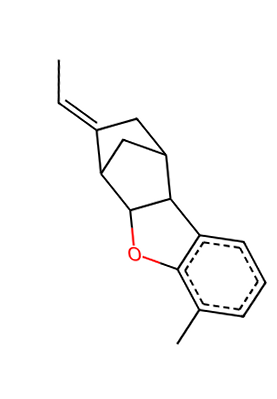 CC=C1CC2CC1C1Oc3c(C)cccc3C21